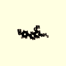 CCOc1ccc(-c2cnc3nc(N)nc(OCC)c3n2)cc1